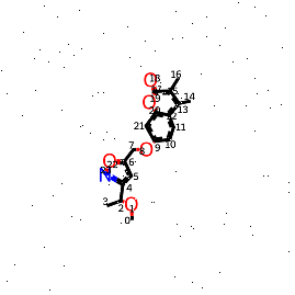 COC(C)c1cc(COc2ccc3c(C)c(C)c(=O)oc3c2)on1